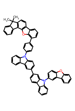 CC1(C)c2ccccc2-c2c1ccc1c2oc2c(-c3ccc(-n4c5ccccc5c5cc(-c6ccc7c8ccccc8n(-c8ccc9oc%10ccccc%10c9c8)c7c6)ccc54)cc3)cccc21